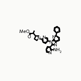 COC(=O)C(C)C1CCN(c2ccc(-n3c(-c4cccnc4N)nc4ccc(-c5ccccc5)nc43)cn2)C1